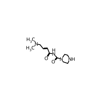 CN(C)CC=CC(=O)NC(=O)N1CCNCC1